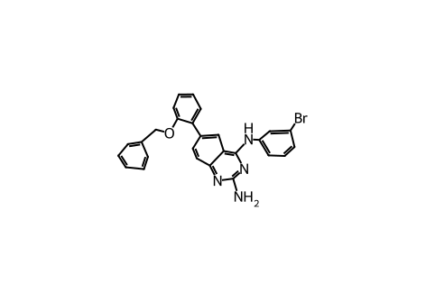 Nc1nc(Nc2cccc(Br)c2)c2cc(-c3ccccc3OCc3ccccc3)ccc2n1